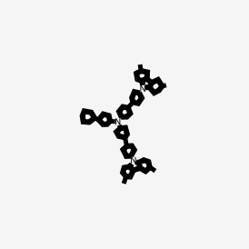 Cc1ccc2c(c1)c1cc(C)ccc1n2-c1ccc(-c2ccc(N(c3ccc(-c4ccccc4)cc3)c3ccc(-c4ccc(-n5c6ccc(C)cc6c6cc(C)ccc65)cc4)cc3)cc2)cc1